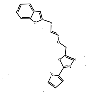 C(Cc1cc2ccccc2o1)=NOCc1nnc(-c2cccs2)o1